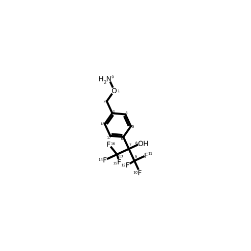 NOCc1ccc(C(O)(C(F)(F)F)C(F)(F)F)cc1